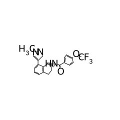 Cn1cc(-c2cccc3c2C[C@H](NC(=O)c2ccc(OC(F)(F)F)cc2)CC3)cn1